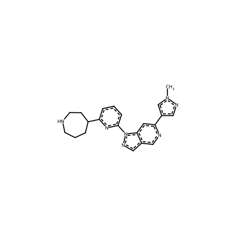 Cn1cc(-c2cc3c(cn2)cnn3-c2cccc(C3CCCNCC3)n2)cn1